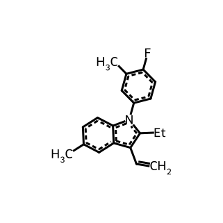 C=Cc1c(CC)n(-c2ccc(F)c(C)c2)c2ccc(C)cc12